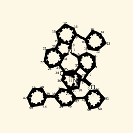 O=C1c2cccc(-n3c4c(-c5ccccc5)cccc4c4cccc(-c5ccccc5)c43)c2C(=O)N1c1cc(-c2ccccc2)ccc1-c1ccccc1